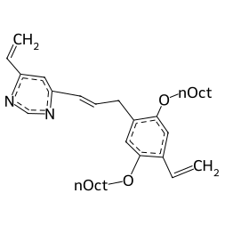 C=Cc1cc(/C=C/Cc2cc(OCCCCCCCC)c(C=C)cc2OCCCCCCCC)ncn1